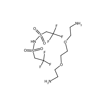 NCCOCCOCCN.O=S(=O)(CC(F)(F)F)NS(=O)(=O)CC(F)(F)F